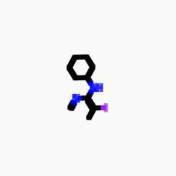 C=N/C(NC1CCCCC1)=C(\C)I